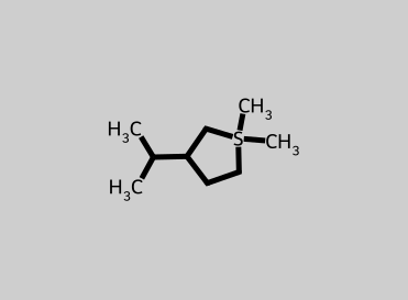 CC(C)C1CCS(C)(C)C1